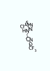 FC(F)(F)COc1ccc(CCNc2ncnc3scc(Cl)c23)cn1